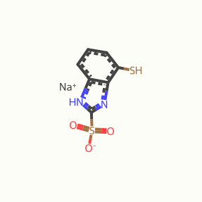 O=S(=O)([O-])c1nc2c(S)cccc2[nH]1.[Na+]